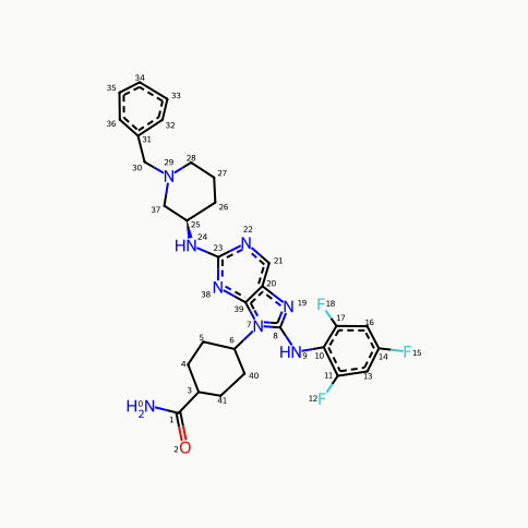 NC(=O)C1CCC(n2c(Nc3c(F)cc(F)cc3F)nc3cnc(N[C@@H]4CCCN(Cc5ccccc5)C4)nc32)CC1